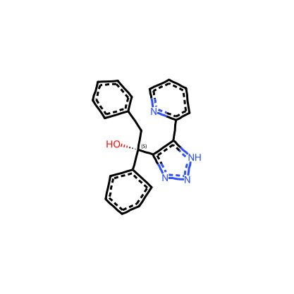 O[C@@](Cc1ccccc1)(c1ccccc1)c1nn[nH]c1-c1ccccn1